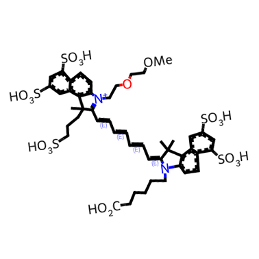 COCCOCC[N+]1=C(/C=C/C=C/C=C/C=C2/N(CCCCCC(=O)O)c3ccc4c(S(=O)(=O)O)cc(S(=O)(=O)O)cc4c3C2(C)C)C(C)(CCCS(=O)(=O)O)c2c1ccc1c(S(=O)(=O)O)cc(S(=O)(=O)O)cc21